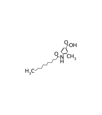 CCCCCCCCCCC(=O)Nc1ccc(C(=O)O)cc1C